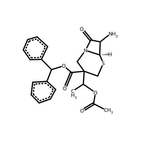 CC(=O)OC(C)C1(C(=O)OC(c2ccccc2)c2ccccc2)CS[C@@H]2C(N)C(=O)N2C1